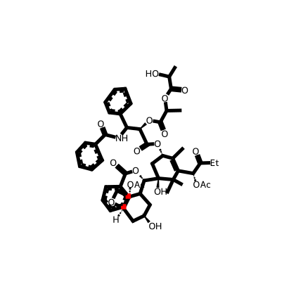 CCC(=O)[C@H](OC(C)=O)C1=C(C)[C@@H](OC(=O)[C@H](OC(=O)C(C)OC(=O)C(C)O)C(NC(=O)c2ccccc2)c2ccccc2)C[C@@](O)([C@@H](OC(=O)c2ccccc2)C2C[C@@H](O)C[C@H]3OC[C@@]23OC(C)=O)C1(C)C